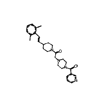 Cc1cccc(C)c1C=CC1CCN(C(=O)CN2CCN(C(=O)c3cccnc3)CC2)CC1